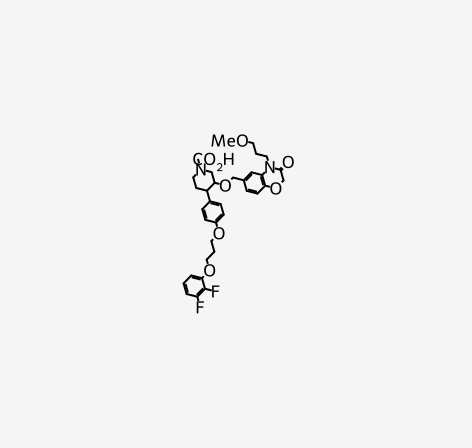 COCCCN1C(=O)COc2ccc(COC3CN(C(=O)O)CCC3c3ccc(OCCCOc4cccc(F)c4F)cc3)cc21